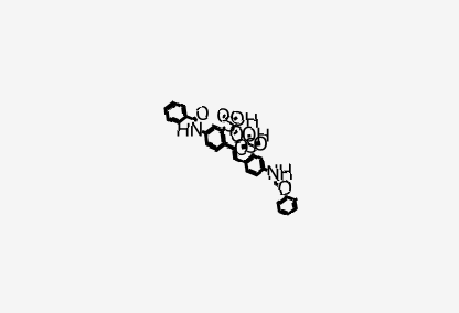 O=C(Nc1ccc(C=Cc2ccc(NCOc3ccccc3)cc2S(=O)(=O)O)c(S(=O)(=O)O)c1)c1ccccc1